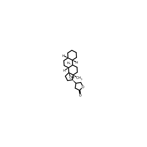 C[C@]12CC[C@@H]3[C@H]4CCCC[C@H]4CC[C@H]3[C@@]1(O)CC[C@@H]2C1COC(=O)C1